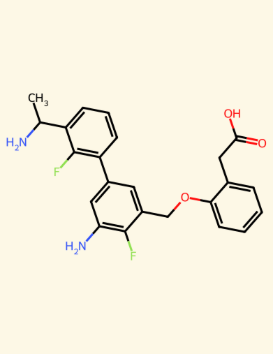 CC(N)c1cccc(-c2cc(N)c(F)c(COc3ccccc3CC(=O)O)c2)c1F